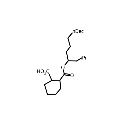 CCCCCCCCCCCCCC(CC(C)C)OC(=O)C1CCCCC1C(=O)O